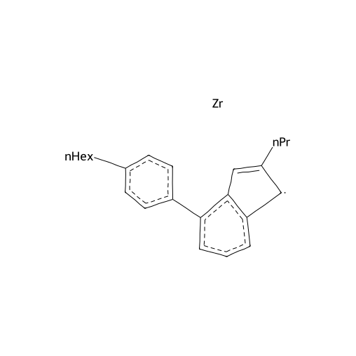 CCCCCCc1ccc(-c2cccc3c2C=C(CCC)[CH]3)cc1.[Zr]